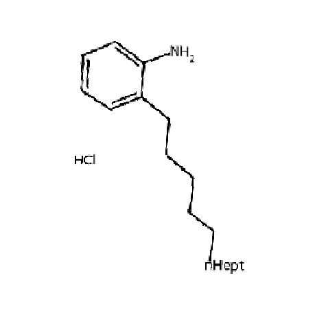 CCCCCCCCCCCCc1ccccc1N.Cl